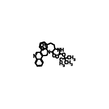 COc1cnc2ccccc2c1CN1C(=O)C(NC(=O)OC(C)(C)C)CCc2ccccc21